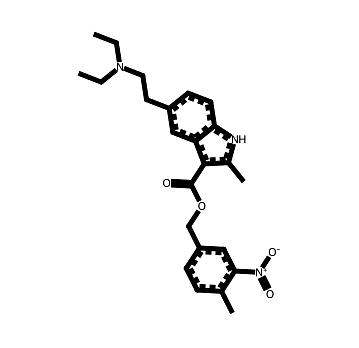 CCN(CC)CCc1ccc2[nH]c(C)c(C(=O)OCc3ccc(C)c([N+](=O)[O-])c3)c2c1